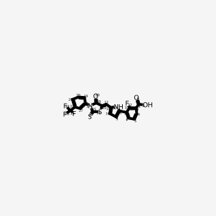 O=C(O)c1cccc(-c2ccc(/C=C3\SC(=S)N(c4cccc(C(F)(F)F)c4)C3=O)[nH]2)c1F